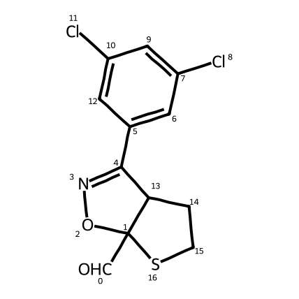 O=CC12ON=C(c3cc(Cl)cc(Cl)c3)C1CCS2